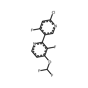 Fc1cc(Cl)ncc1-c1nccc(OC(F)F)c1F